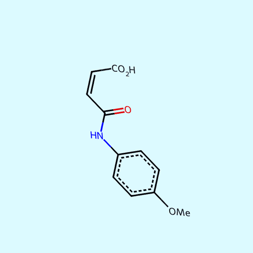 COc1ccc(NC(=O)/C=C\C(=O)O)cc1